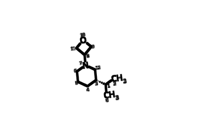 CC(C)[C@@H]1CCCN(C2COC2)C1